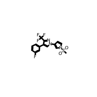 CS(=O)(=O)n1ccc(-n2cc(-c3cccc(F)c3)c(C(F)(F)F)n2)c1